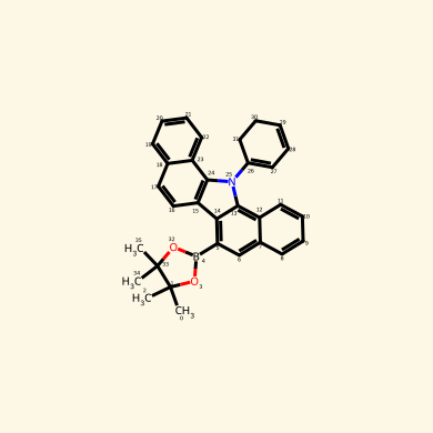 CC1(C)OB(c2cc3ccccc3c3c2c2ccc4ccccc4c2n3C2=CC=CCC2)OC1(C)C